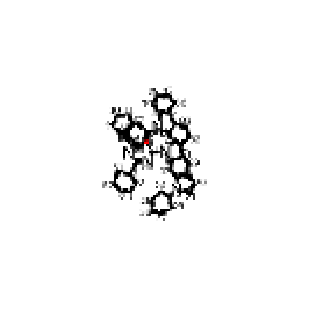 c1ccc(-c2nc(-c3ccccc3)nc(-n3c4cc5c(ccn5-c5ccccc5)cc4c4ccc5c6ccccc6n(-c6ccccc6)c5c43)n2)cc1